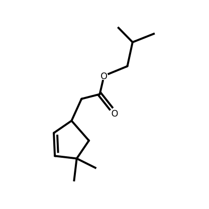 CC(C)COC(=O)CC1C=CC(C)(C)C1